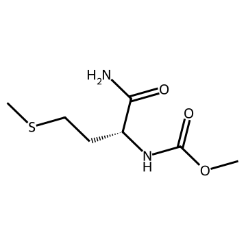 COC(=O)N[C@H](CCSC)C(N)=O